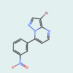 O=[N+]([O-])c1cccc(-c2ccnc3c(Br)cnn23)c1